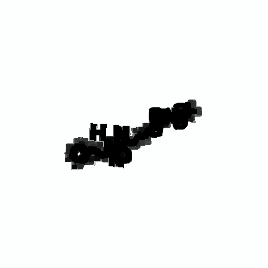 CC(C)(C)OC(=O)NCC(=O)OCCCC[C@H](N)c1nc(CCc2ccccc2)no1